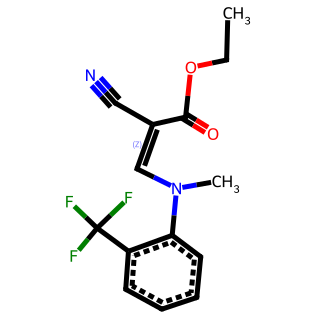 CCOC(=O)/C(C#N)=C\N(C)c1ccccc1C(F)(F)F